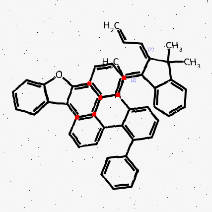 C=C/C=C1\C(=C(/C)N(c2ccc3c(c2)oc2ccccc23)c2cccc(-c3ccccc3)c2-c2ccccc2-c2ccccc2)c2ccccc2C1(C)C